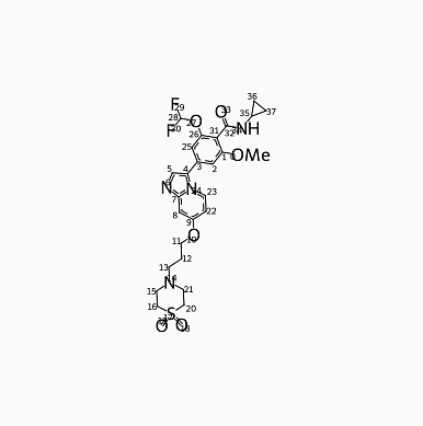 COc1cc(-c2cnc3cc(OCCCN4CCS(=O)(=O)CC4)ccn23)cc(OC(F)F)c1C(=O)NC1CC1